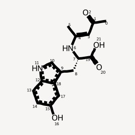 CC(=O)C=C(C)N[C@@H](Cc1c[nH]c2ccc(O)cc12)C(=O)O